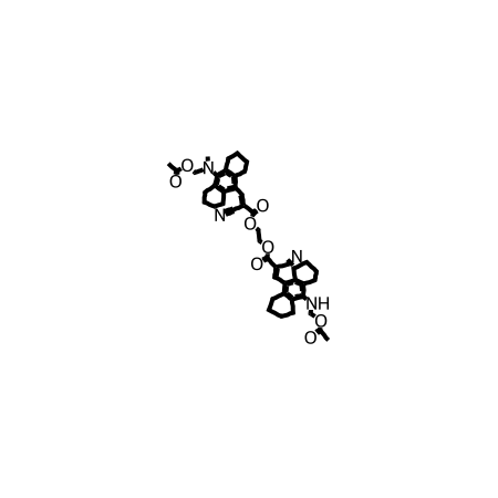 CC(=O)OCNc1c2c(c(/C=C(\C#N)C(=O)OCCOC(=O)/C(C#N)=C/c3c4c(c(N(C)COC(C)=O)c5c3CCCC5)CCCC4)c3c1CCCC3)CCCC2